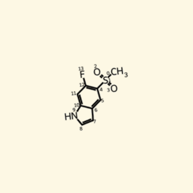 CS(=O)(=O)c1cc2cc[nH]c2cc1F